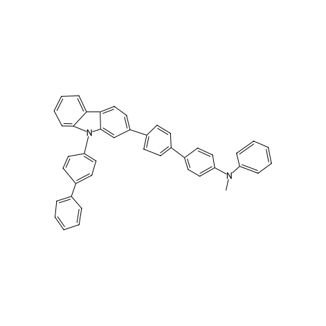 CN(c1ccccc1)c1ccc(-c2ccc(-c3ccc4c5ccccc5n(-c5ccc(-c6ccccc6)cc5)c4c3)cc2)cc1